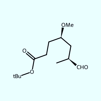 CO[C@H](CCC(=O)OC(C)(C)C)C[C@H](C)C=O